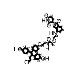 CC(OCCNc1cccc2c1CN(C1CCC(=O)NC1=O)C2=O)C(=O)NCCOc1ccc(C(=C(CCCl)c2ccc(O)cc2)c2ccc(O)cc2)cc1